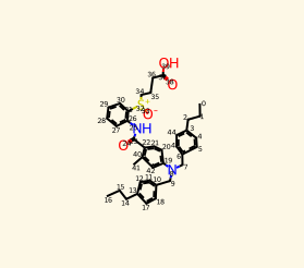 CCCc1ccc(CN(Cc2ccc(CCC)cc2)c2ccc(C(=O)Nc3ccccc3[S+]([O-])CCCC(=O)O)c(C)c2)cc1